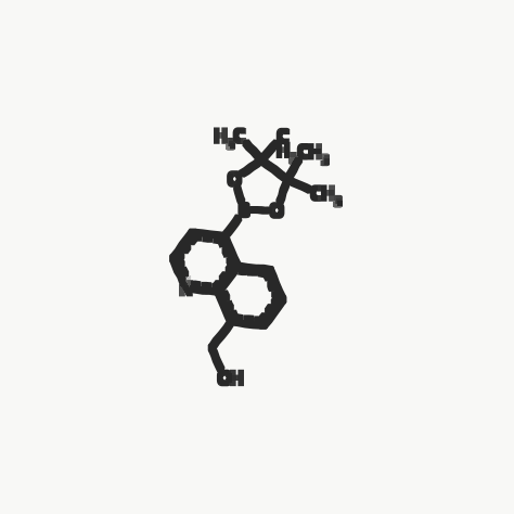 CC1(C)OB(c2ccnc3c(CO)cccc23)OC1(C)C